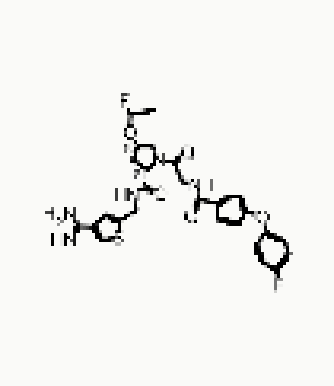 N=C(N)c1csc(CNC(=O)[C@@H]2C[C@@H](OC(F)F)CN2C(=O)CNC(=O)c2ccc(Oc3ccc(F)cc3)cc2)c1